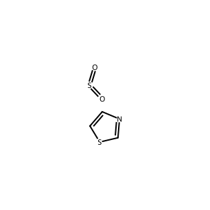 O=S=O.c1cscn1